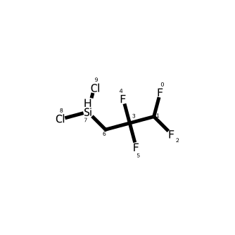 FC(F)C(F)(F)C[SiH](Cl)Cl